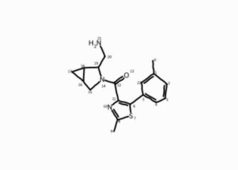 Cc1cccc(-c2sc(C)nc2C(=O)N2CC3CC3C2CN)c1